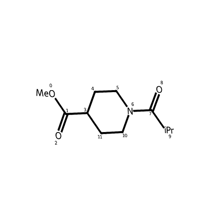 COC(=O)C1CCN(C(=O)C(C)C)CC1